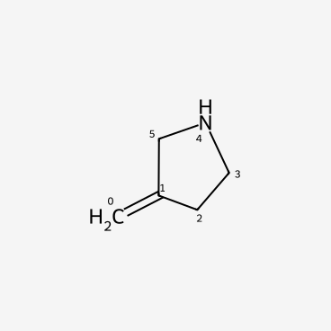 C=C1CCNC1